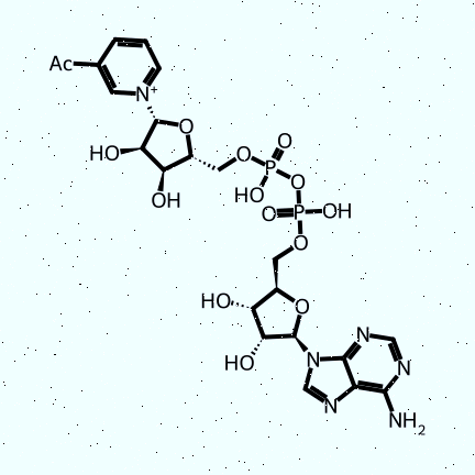 CC(=O)c1ccc[n+]([C@@H]2O[C@H](COP(=O)(O)OP(=O)(O)OC[C@H]3O[C@@H](n4cnc5c(N)ncnc54)[C@H](O)[C@@H]3O)[C@@H](O)[C@H]2O)c1